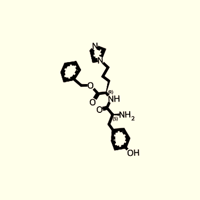 N[C@@H](Cc1ccc(O)cc1)C(=O)N[C@H](CCCn1ccnc1)C(=O)OCc1ccccc1